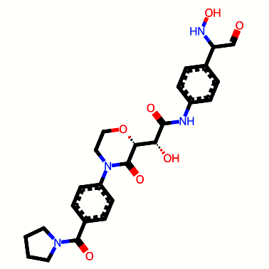 O=CC(NO)c1ccc(NC(=O)[C@H](O)[C@H]2OCCN(c3ccc(C(=O)N4CCCC4)cc3)C2=O)cc1